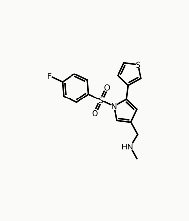 CNCc1cc(-c2ccsc2)n(S(=O)(=O)c2ccc(F)cc2)c1